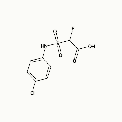 O=C(O)C(F)S(=O)(=O)Nc1ccc(Cl)cc1